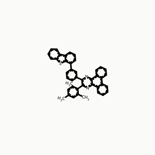 Cc1cc(C)c(-c2nc3c4ccccc4c4ccccc4c3nc2-c2cccc(-c3cccc4c3sc3ccccc34)c2)c(C)c1